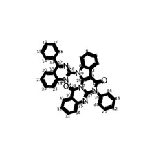 O=c1c2c3ccccc3n(-c3nc(-c4ccccc4)c4ccccc4n3)c2n2c(=O)c3ccccc3nc2n1-c1ccccc1